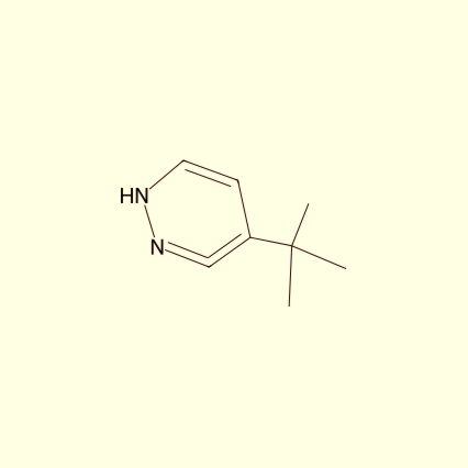 CC(C)(C)C1=C=NNC=C1